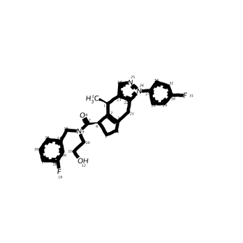 C[C@@H]1C2=C(CC[C@H]2C(=O)N(CCO)Cc2cccc(F)c2)Cc2c1cnn2-c1ccc(F)cc1